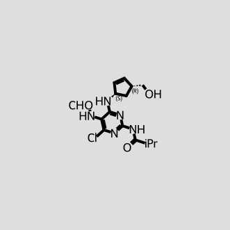 CC(C)C(=O)Nc1nc(Cl)c(NC=O)c(N[C@@H]2C=C[C@H](CO)C2)n1